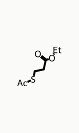 CCOC(=O)CCSC(C)=O